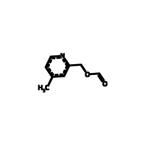 Cc1ccnc(COC=O)c1